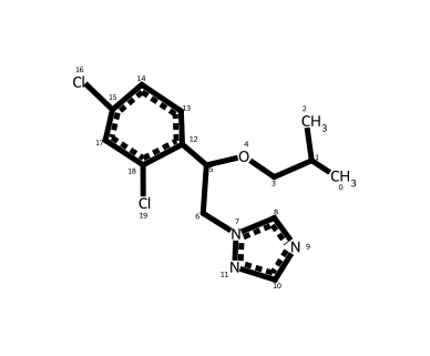 CC(C)COC(Cn1cncn1)c1ccc(Cl)cc1Cl